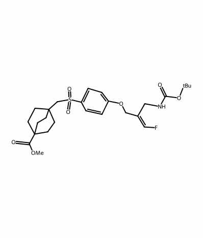 COC(=O)C12CCC(CS(=O)(=O)c3ccc(OC/C(=C/F)CNC(=O)OC(C)(C)C)cc3)(CC1)CC2